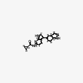 O=C(Nc1ccc2c(-c3ccc4[nH]ncc4c3)c[nH]c2n1)C1CC1